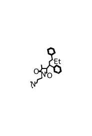 CC[C@H](CC(c1ccccc1)C1C(=O)N(CCCN(C)C)C(=O)C1C)c1ccccc1